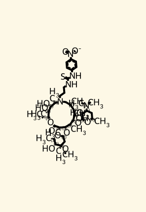 CC[C@H]1OC(=O)[C@H](C)[C@@H](O[C@H]2C[C@@](C)(OC)[C@@H](O)[C@H](C)O2)[C@H](C)[C@@H](O[C@@H]2O[C@H](C)C[C@H](N(C)C)[C@H]2O)[C@](C)(O)C[C@@H](C)CN(CCCNC(=S)Nc2ccc([N+](=O)[O-])cc2)[C@H](C)[C@@H](O)[C@]1(C)O